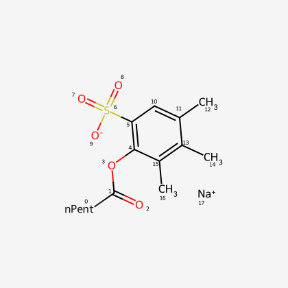 CCCCCC(=O)Oc1c(S(=O)(=O)[O-])cc(C)c(C)c1C.[Na+]